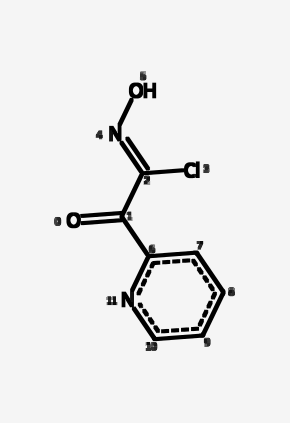 O=C(/C(Cl)=N/O)c1ccccn1